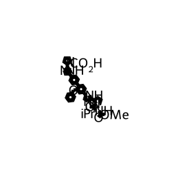 COC(=O)NC(C(=O)N1CCCC1c1ncc(-c2ccc(-c3ccc(-c4cnc(C5CCCN5C(=O)O)[nH]4)cc3)c(Oc3ccccc3)c2)[nH]1)C(C)C